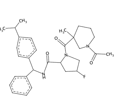 CC(=O)N1CCCC(C)(C(=O)N2CC(F)CC2C(=O)NC(c2ccccc2)c2ccc(C(C)C)cc2)C1